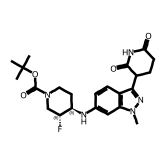 Cn1nc(C2CCC(=O)NC2=O)c2ccc(N[C@@H]3CCN(C(=O)OC(C)(C)C)C[C@H]3F)cc21